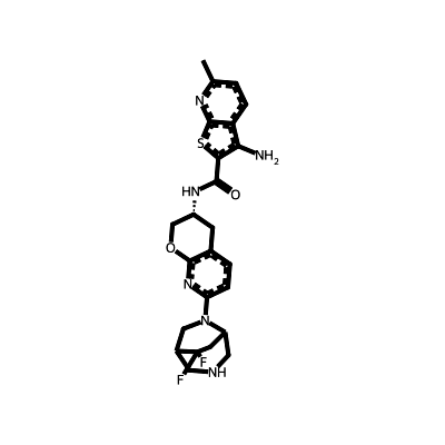 Cc1ccc2c(N)c(C(=O)N[C@H]3COc4nc(N5CC6CNCC5CC6(F)F)ccc4C3)sc2n1